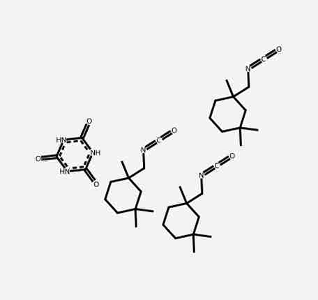 CC1(C)CCCC(C)(CN=C=O)C1.CC1(C)CCCC(C)(CN=C=O)C1.CC1(C)CCCC(C)(CN=C=O)C1.O=c1[nH]c(=O)[nH]c(=O)[nH]1